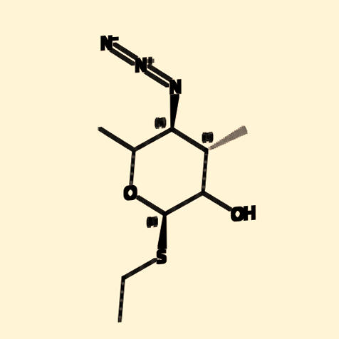 CCS[C@H]1OC(C)[C@@H](N=[N+]=[N-])[C@H](C)C1O